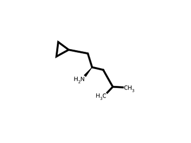 CC(C)C[C@@H](N)CC1CC1